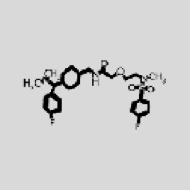 CN(C)C(c1ccc(F)cc1)C1CCC(CNC(=O)COCCN(C)S(=O)(=O)c2ccc(F)cc2)CC1